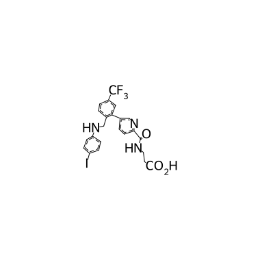 O=C(O)CCNC(=O)c1ccc(-c2cc(C(F)(F)F)ccc2CNc2ccc(I)cc2)cn1